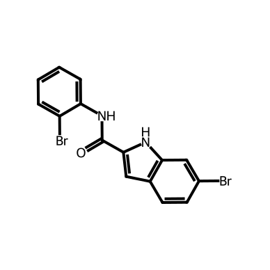 O=C(Nc1ccccc1Br)c1cc2ccc(Br)cc2[nH]1